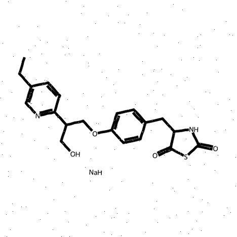 CCc1ccc(C(CO)COc2ccc(CC3NC(=O)SC3=O)cc2)nc1.[NaH]